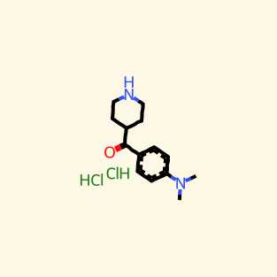 CN(C)c1ccc(C(=O)C2CCNCC2)cc1.Cl.Cl